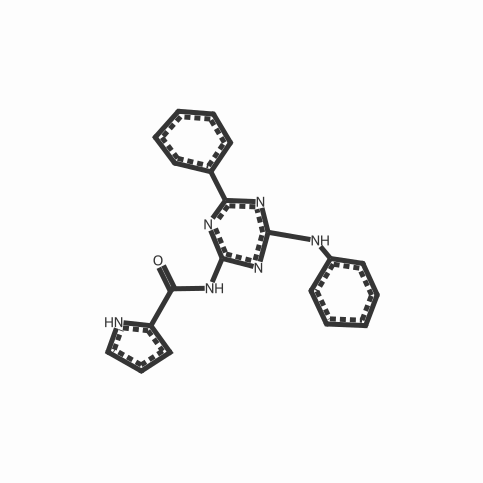 O=C(Nc1nc(Nc2ccccc2)nc(-c2ccccc2)n1)c1ccc[nH]1